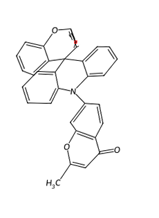 Cc1cc(=O)c2ccc(N3c4ccccc4C4(c5ccccc5Oc5ccccc54)c4ccccc43)cc2o1